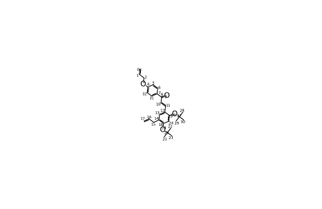 C=CCOc1ccc(C(=O)C=Cc2cc(CC=C)c(OC(C)(C)C)cc2OC(C)(C)C)cc1